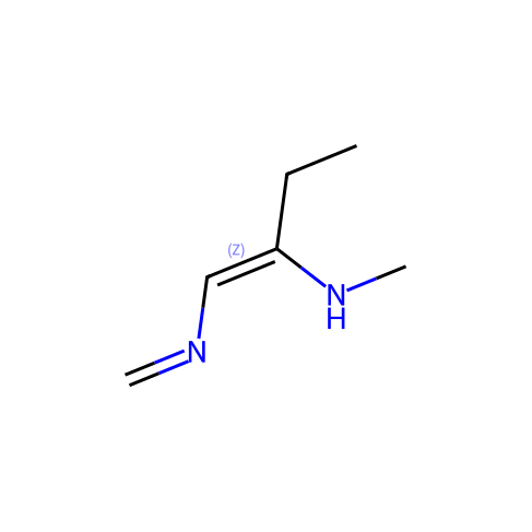 C=N/C=C(/CC)NC